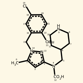 Cc1cc(N(CC2CCNCC2)C(=O)O)nn1Cc1cc(Cl)ccc1OCC(C)C